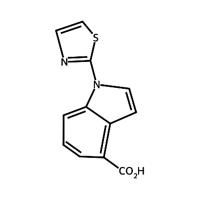 O=C(O)c1cccc2c1ccn2-c1nccs1